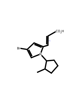 CC1CCCC1n1cc(Br)cc1/C=C/C(=O)O